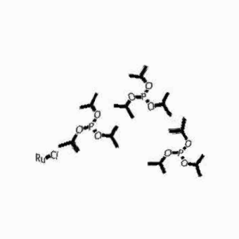 CC(C)OP(OC(C)C)OC(C)C.CC(C)OP(OC(C)C)OC(C)C.CC(C)OP(OC(C)C)OC(C)C.[Cl][Ru]